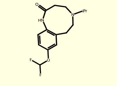 CC(C)N1CCC(=O)Nc2ccc(OC(F)F)cc2CC1